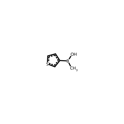 CB(O)c1ccsc1